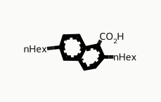 CCCCCCc1ccc2c(C(=O)O)c(CCCCCC)ccc2c1